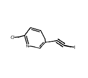 Clc1ccc(C#CI)cn1